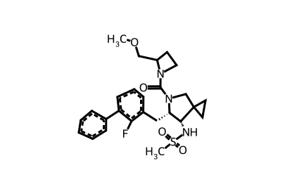 COCC1CCN1C(=O)N1CC2(CC2)[C@H](NS(C)(=O)=O)[C@@H]1Cc1cccc(-c2ccccc2)c1F